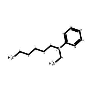 CCCCCCN(CN)c1ccccc1